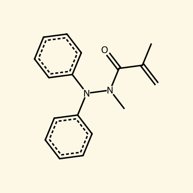 C=C(C)C(=O)N(C)N(c1ccccc1)c1ccccc1